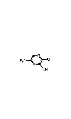 N#Cc1cc(C(F)(F)F)cnc1Cl